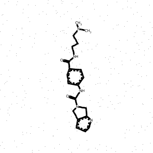 CN(C)CCCNC(=O)c1ccc(NC(=O)N2Cc3cccnc3C2)cc1